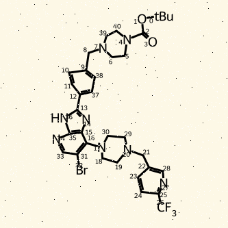 CC(C)(C)OC(=O)N1CCN(Cc2ccc(-c3nc4c(N5CCN(Cc6ccc(C(F)(F)F)nc6)CC5)c(Br)cnc4[nH]3)cc2)CC1